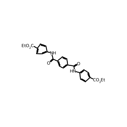 CCOC(=O)c1ccc(NC(=O)c2ccc(C(=O)Nc3ccc(C(=O)OCC)cc3)cc2)cc1